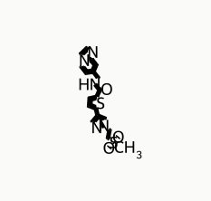 CS(=O)(=O)CCn1cc(-c2ccc(C(=O)NCc3ccn4ccnc4c3)s2)cn1